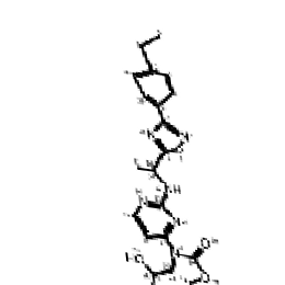 CCc1ccc(-c2noc([C@H](C)Nc3nccc(N4C(=O)OC[C@@H]4[C@@H](C)O)n3)n2)cc1